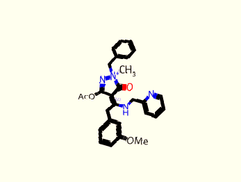 COc1cccc(C/C(NCc2ccccn2)=C2/C(=O)[N+](C)(Cc3ccccc3)N=C2OC(C)=O)c1